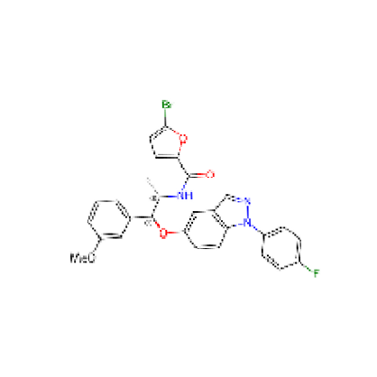 COc1cccc([C@H](Oc2ccc3c(cnn3-c3ccc(F)cc3)c2)[C@H](C)NC(=O)c2ccc(Br)o2)c1